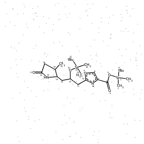 CC(C)(C)[Si](C)(C)OC(=O)c1coc(CC(CC2NC(=O)CC2C(F)(F)F)O[Si](C)(C)C(C)(C)C)n1